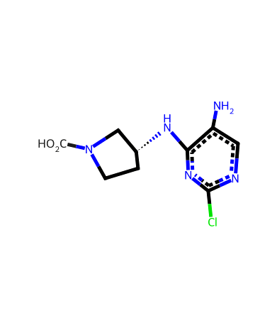 Nc1cnc(Cl)nc1N[C@@H]1CCN(C(=O)O)C1